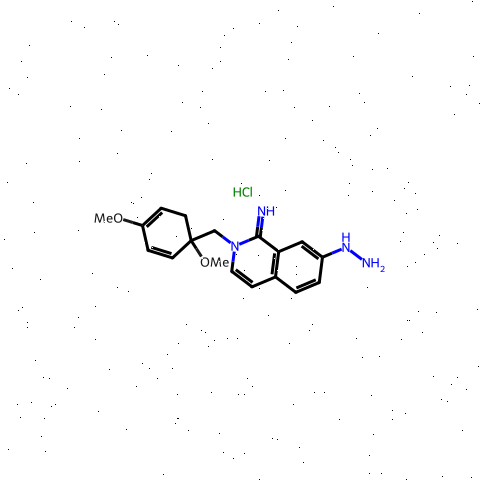 COC1=CCC(Cn2ccc3ccc(NN)cc3c2=N)(OC)C=C1.Cl